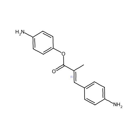 C/C(=C\c1ccc(N)cc1)C(=O)Oc1ccc(N)cc1